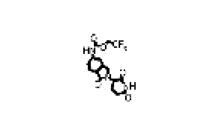 O=C1CCC(N2Cc3cc(NC(=O)OCC(F)(F)F)ccc3C2=O)C(=O)N1